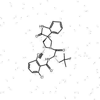 C#C[C@@H]1C[C@@]2(CN1C(=O)[C@H](CC(C)(C)F)NC(=O)c1c(Cl)cccc1Cl)C(=O)Nc1ccccc12